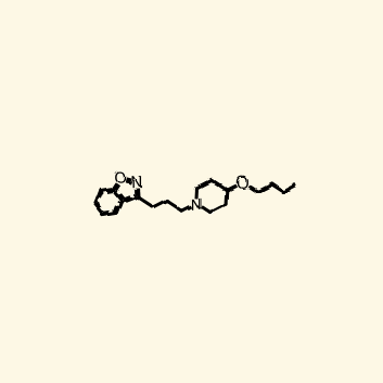 CCCCOC1CCN(CCCc2noc3ccccc23)CC1